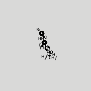 CC(C)(C)OC(=O)N1CCN(c2ccc(NC(=O)c3ccc(Br)cc3)cc2C(F)(F)F)CC1